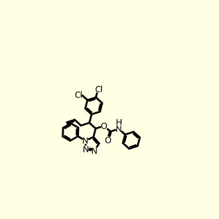 C=CCC(c1ccc(Cl)c(Cl)c1)C(OC(=O)Nc1ccccc1)c1cnnn1-c1ccccc1